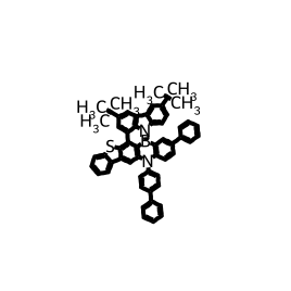 CC(C)(C)c1ccc2c(c1)c1cc(C(C)(C)C)cc3c1n2B1c2cc(-c4ccccc4)ccc2N(c2ccc(-c4ccccc4)cc2)c2cc4c(sc5ccccc54)c-3c21